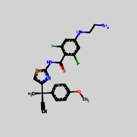 C#C[C@@](C)(c1ccc(OC)cc1)c1csc(NC(=O)c2c(F)cc(NCCN)cc2F)n1